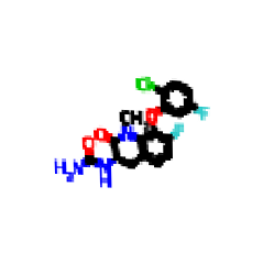 CN1C(=O)[C@H](NC(N)=O)Cc2ccc(F)c(Oc3cc(F)ccc3Cl)c21